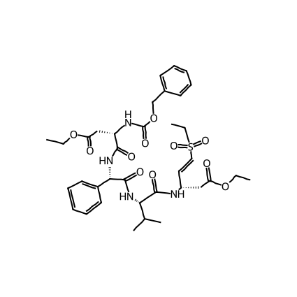 CCOC(=O)C[C@@H](/C=C/S(=O)(=O)CC)NC(=O)[C@@H](NC(=O)[C@@H](NC(=O)[C@H](CC(=O)OCC)NC(=O)OCc1ccccc1)c1ccccc1)C(C)C